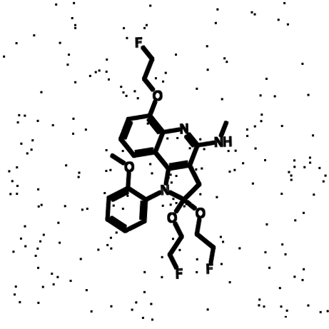 CNc1nc2c(OCCF)cccc2c2c1CC(OCCF)(OCCF)N2c1ccccc1OC